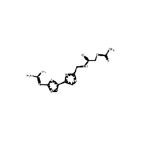 CC(=O)OCC(=O)NCc1nc(-c2csc(N=C(N)N)n2)cs1